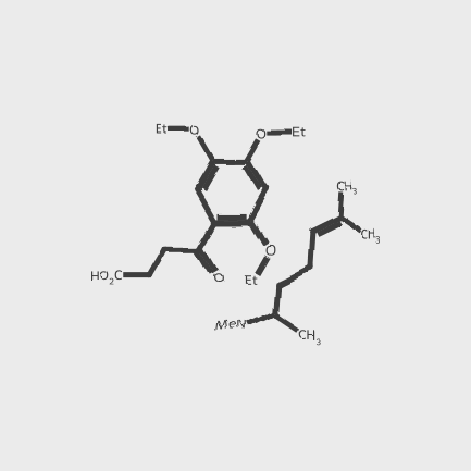 CCOc1cc(OCC)c(C(=O)CCC(=O)O)cc1OCC.CNC(C)CCC=C(C)C